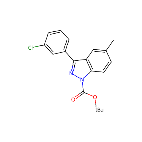 Cc1ccc2c(c1)c(-c1cccc(Cl)c1)nn2C(=O)OC(C)(C)C